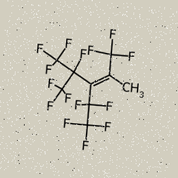 C/C(=C(\C(F)(F)C(F)(F)F)C(F)(C(F)(F)F)C(F)(F)F)C(F)(F)F